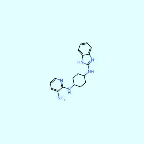 Nc1cccnc1NC1CCC(Nc2nc3ccccc3[nH]2)CC1